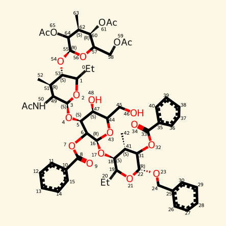 CCC1O[C@@H](O[C@@H]2C(OC(=O)c3ccccc3)[C@H](O[C@@H]3C(CC)O[C@@H](OCc4ccccc4)C(OC(=O)c4ccccc4)[C@H]3C)OC(CO)[C@@H]2O)C(NC(C)=O)[C@@H](C)[C@@H]1O[C@@H]1OC(COC(C)=O)[C@H](OC(C)=O)[C@H](C)C1OC(C)=O